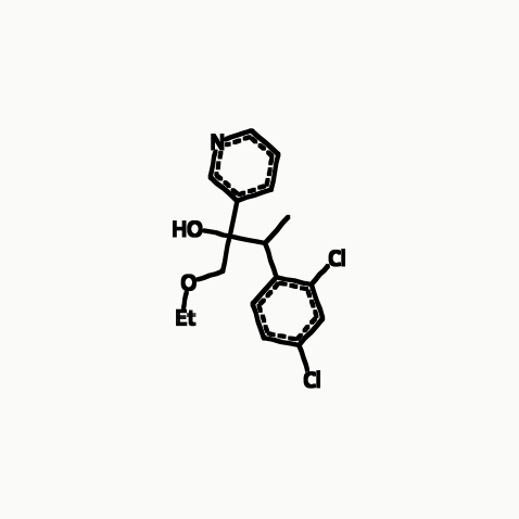 CCOCC(O)(c1cccnc1)C(C)c1ccc(Cl)cc1Cl